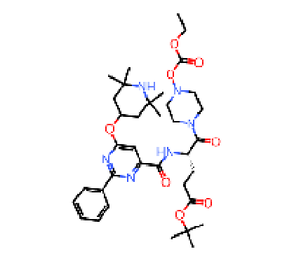 CCOC(=O)ON1CCN(C(=O)[C@H](CCC(=O)OC(C)(C)C)NC(=O)c2cc(OC3CC(C)(C)NC(C)(C)C3)nc(-c3ccccc3)n2)CC1